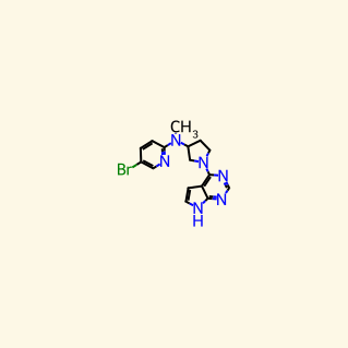 CN(c1ccc(Br)cn1)C1CCN(c2ncnc3[nH]ccc23)C1